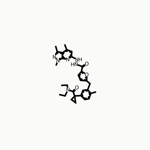 CCN(CC)C(=O)C1(c2ccc(C)c(Cc3ccc(C(=O)NNc4cc(C)c5c(C)nn(C)c5n4)o3)c2)CC1